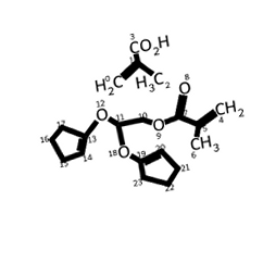 C=C(C)C(=O)O.C=C(C)C(=O)OCC(OC1=CCCC1)OC1=CCCC1